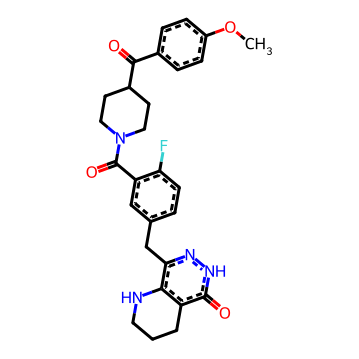 COc1ccc(C(=O)C2CCN(C(=O)c3cc(Cc4n[nH]c(=O)c5c4NCCC5)ccc3F)CC2)cc1